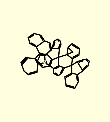 C1#Cc2c(n(-c3cccc4c3C3(c5ccccc5-c5ccccc53)C35CC3C=CC=C5C43c4ccccc4-c4ccccc43)c3ccc4ccccc4c23)C=CC1